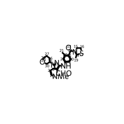 CN/C=C\c1c(C=O)c(Nc2ccc(C(=O)N3CCSC3C)c(C)c2)nn1C1CCCOC1